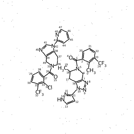 Cc1c(C(=O)N2Cc3nnn(-c4cc[nH]n4)c3CC2C)cccc1C(F)(F)F.O=C(c1cccc(C(F)(F)F)c1Cl)N1CCc2c(ncn2-c2ccccn2)C1